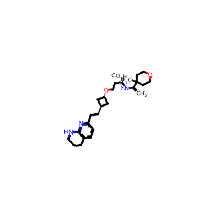 C=C(N[C@@H](CCO[C@H]1C[C@H](CCc2ccc3c(n2)NCCC3)C1)C(=O)O)C1(C)CCOCC1